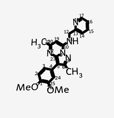 COc1ccc(-c2c(C)nn3c(NCc4ccccn4)cc(C)nc23)cc1OC